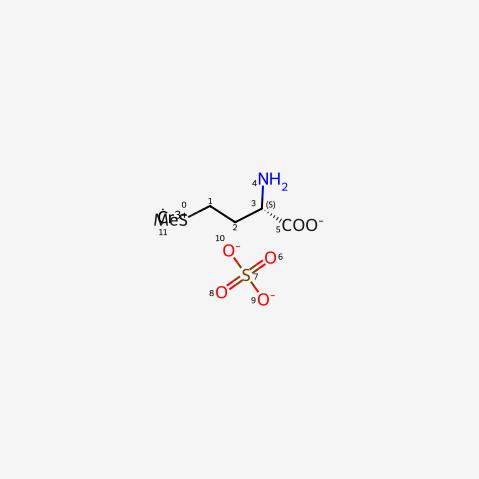 CSCC[C@H](N)C(=O)[O-].O=S(=O)([O-])[O-].[Cr+3]